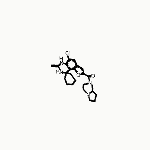 C=C1Nc2c(Cl)cc3cc(C(=O)N4CCN5CCCC5C4)oc3c2C2(CCCCC2)N1